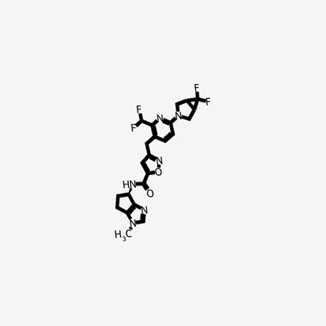 Cn1cnc2c1CC[C@H]2NC(=O)c1cc(Cc2ccc(N3CC4C(C3)C4(F)F)nc2C(F)F)no1